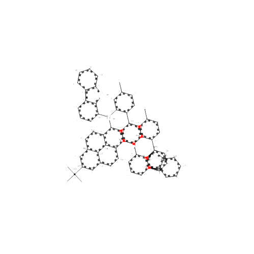 Cc1ccc(-c2ccccc2)c(N(c2cc(N(c3cc(C)ccc3-c3ccccc3)c3cccc4c3oc3ccccc34)c3ccc4cc(C(C)(C)C)cc5ccc2c3c54)c2cccc3c2oc2ccccc23)c1